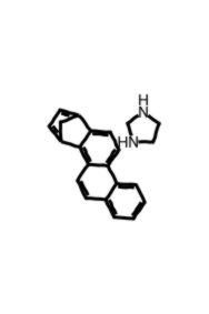 C1=C2CC(=C1)c1c2ccc2c1ccc1ccccc12.C1CNCN1